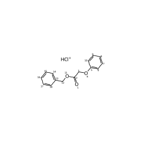 Cl.O=C(COc1ccccc1)OCc1ccccc1